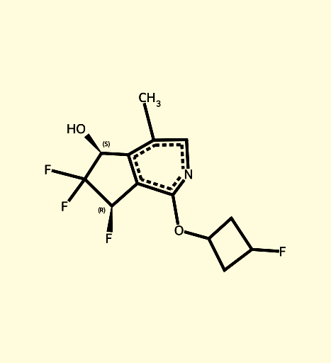 Cc1cnc(OC2CC(F)C2)c2c1[C@H](O)C(F)(F)[C@@H]2F